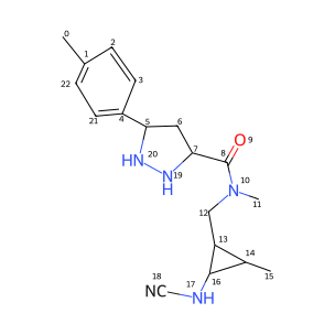 Cc1ccc(C2CC(C(=O)N(C)CC3C(C)C3NC#N)NN2)cc1